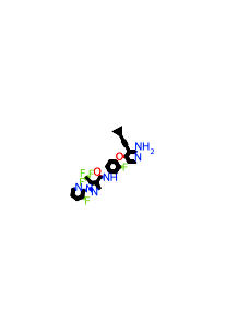 Nc1nccc(Oc2ccc(NC(=O)c3cnn(-c4ncccc4F)c3C(F)(F)F)cc2F)c1C#CC1CC1